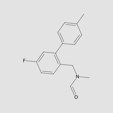 Cc1ccc(-c2cc(F)ccc2CN(C)C=O)cc1